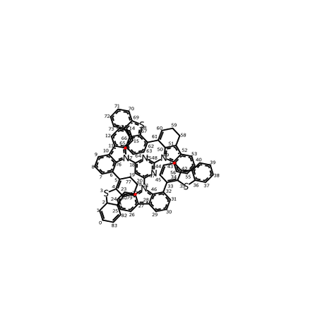 C1=CC2SC3=C(c4cccc5c6ccccc6n(-c6cc(-n7c8ccccc8c8cccc(C9=C%10Sc%11ccccc%11C%10CC=C9)c87)nc(-n7c8c(c9ccccc97)CCC=C8c7cccc8c7sc7ccccc78)n6)c45)CCC=C3C2C=C1